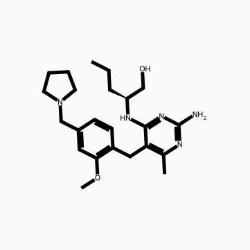 CCC[C@@H](CO)Nc1nc(N)nc(C)c1Cc1ccc(CN2CCCC2)cc1OC